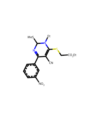 CCOC(=O)CSC1=C(C#N)C(c2cccc([N+](=O)[O-])c2)=NC(SC)N1CC